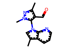 Cc1nn(C)c(-n2cc(C)c3cccnc32)c1C=O